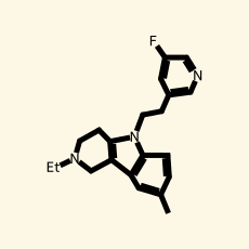 CCN1CCc2c(c3cc(C)ccc3n2CCc2cncc(F)c2)C1